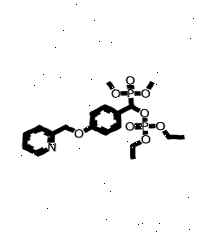 CCOP(=O)(OCC)OC(c1ccc(OCc2ccccn2)cc1)P(=O)(OC)OC